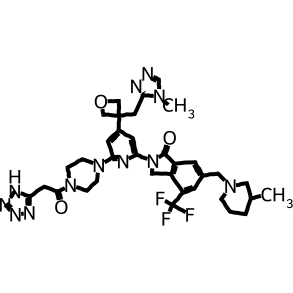 CC1CCCN(Cc2cc3c(c(C(F)(F)F)c2)CN(c2cc(C4(Cc5nncn5C)COC4)cc(N4CCN(C(=O)Cc5nnn[nH]5)CC4)n2)C3=O)C1